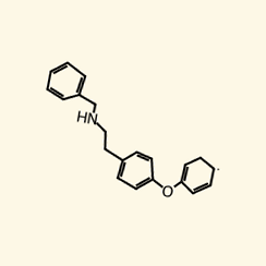 [CH]1C=CC(Oc2ccc(CCNCc3ccccc3)cc2)=CC1